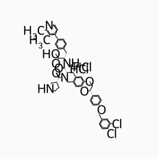 Cc1nccc(-c2ccc(C[C@H](NC(=O)[C@@H]3Cc4cc5c(cc4CN3C(=O)[C@@H]3CCNC3)O[C@@H](c3ccc(OCc4ccc(Cl)c(Cl)c4)cc3)CO5)C(=O)O)cc2)c1C.Cl.Cl